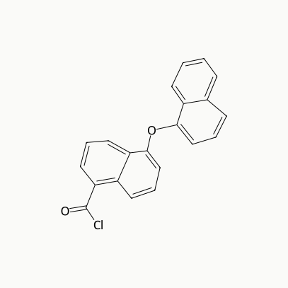 O=C(Cl)c1cccc2c(Oc3cccc4ccccc34)cccc12